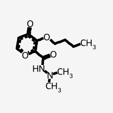 CCCCOc1c(C(=O)NN(C)C)occc1=O